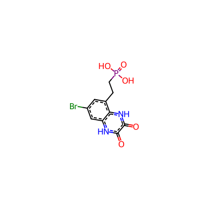 O=c1[nH]c2cc(Br)cc(CCP(=O)(O)O)c2[nH]c1=O